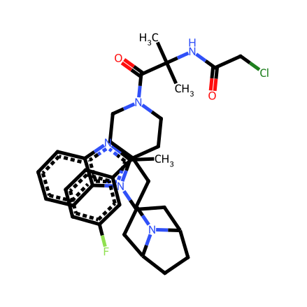 Cc1nc2ccccc2n1C1CC2CCC(C1)N2CCC1(c2cccc(F)c2)CCN(C(=O)C(C)(C)NC(=O)CCl)CC1